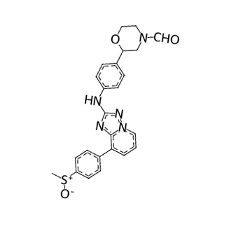 C[S+]([O-])c1ccc(-c2cccn3nc(Nc4ccc(C5CN(C=O)CCO5)cc4)nc23)cc1